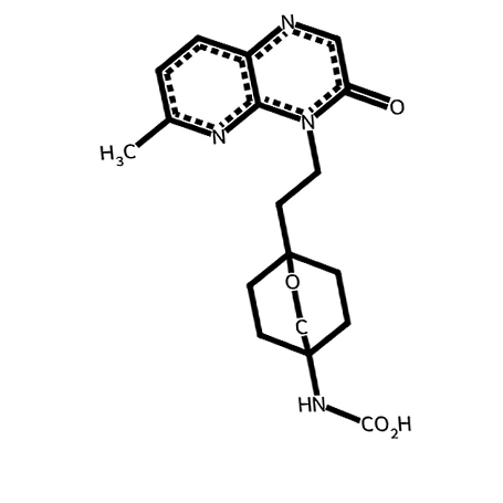 Cc1ccc2ncc(=O)n(CCC34CCC(NC(=O)O)(CC3)CO4)c2n1